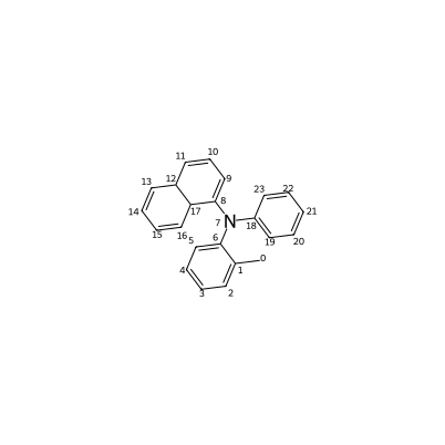 Cc1ccccc1N(C1=CC=CC2C=CC=CC12)c1ccccc1